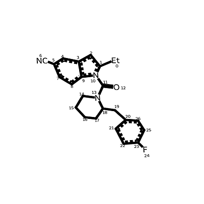 CCc1cc2cc(C#N)ccc2n1C(=O)N1CCCCC1Cc1ccc(F)cc1